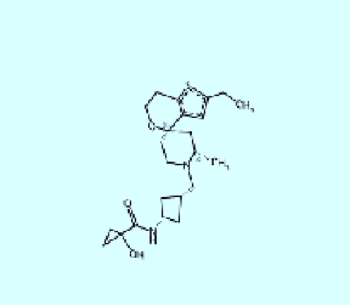 CCc1cc2c(s1)CCO[C@@]21CCN(C[C@H]2C[C@@H](NC(=O)C3(O)CC3)C2)[C@@H](C)C1